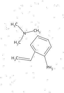 C=Cc1ccccc1P.CN(C)C